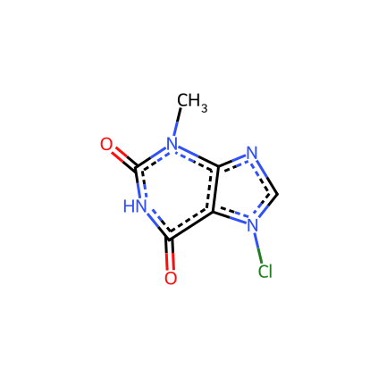 Cn1c(=O)[nH]c(=O)c2c1ncn2Cl